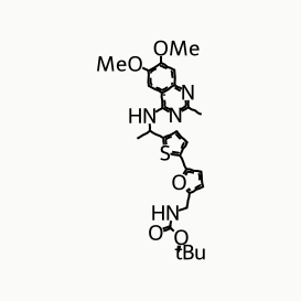 COc1cc2nc(C)nc(NC(C)c3ccc(-c4ccc(CNC(=O)OC(C)(C)C)o4)s3)c2cc1OC